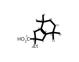 CCC1(C(=O)O)CC2=C(C1)C(C)(C)CCC2(C)C